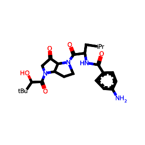 CC(C)CC(NC(=O)c1ccc(N)cc1)C(=O)N1CCC2C1C(=O)CN2C(=O)C(O)C(C)(C)C